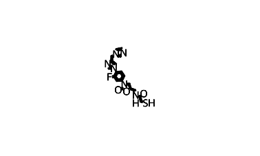 O=C(CS)NCC1CN(c2ccc(-n3cnc(Cn4ccnc4)c3)c(F)c2)C(=O)O1